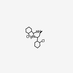 C=C1CC(C2CCCCC2Cl)NC(C2CCCCC2C(F)(F)F)N1